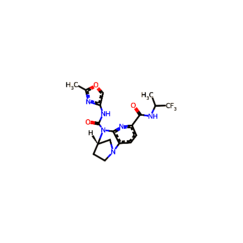 Cc1nc(NC(=O)N2c3nc(C(=O)NC(C)C(F)(F)F)ccc3N3CC[C@H]2C3)co1